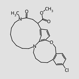 COC(=O)C1CC(=O)N(C)CCCCCCCN2CCCCc3cc(Cl)ccc3COc3ccc1cc32